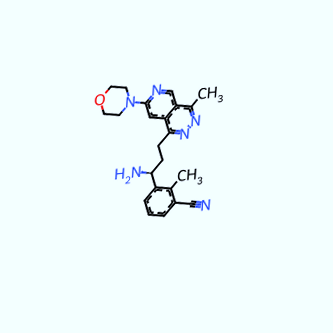 Cc1c(C#N)cccc1[C@@H](N)CCc1nnc(C)c2cnc(N3CCOCC3)cc12